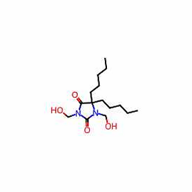 CCCCCC1(CCCCC)C(=O)N(CO)C(=O)N1CO